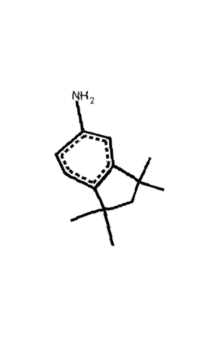 CC1(C)CC(C)(C)c2cc(N)ccc21